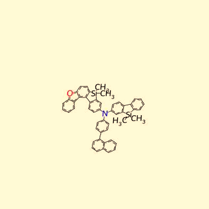 C[Si]1(C)c2ccccc2-c2ccc(N(c3ccc(-c4cccc5ccccc45)cc3)c3ccc4c(c3)[Si](C)(C)c3ccc5oc6ccccc6c5c3-4)cc21